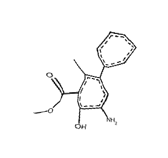 COC(=O)c1c(C)c(-c2ccccc2)cc(N)c1O